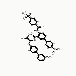 Cc1cccc(-c2ccc(C[C@H](NC(=O)c3cc(-c4ccc([N+](=O)[O-])cc4)ccc3NC(=O)c3ccc(C(C)(C)C)cc3)C(=O)O)cc2)c1